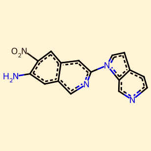 Nc1cc2cnc(-n3ccc4ccncc43)cc2cc1[N+](=O)[O-]